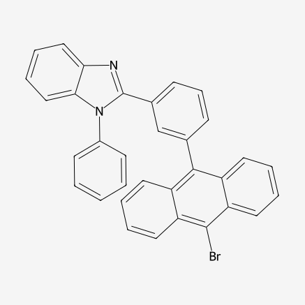 Brc1c2ccccc2c(-c2cccc(-c3nc4ccccc4n3-c3ccccc3)c2)c2ccccc12